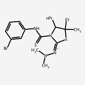 CCCC1N(C(=S)Nc2cccc(Br)c2)/C(=N\N(C)C)SC1(C)CC